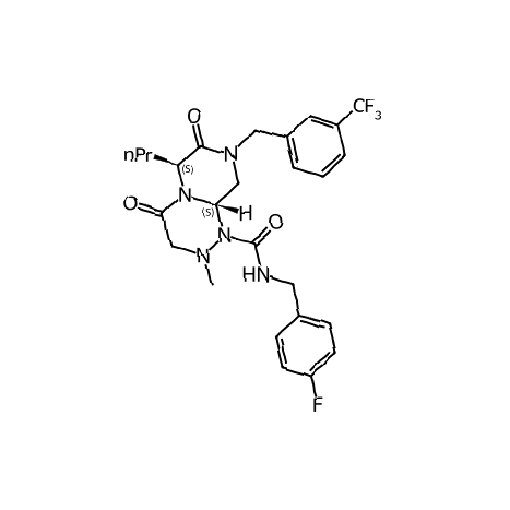 CCC[C@H]1C(=O)N(Cc2cccc(C(F)(F)F)c2)C[C@H]2N1C(=O)CN(C)N2C(=O)NCc1ccc(F)cc1